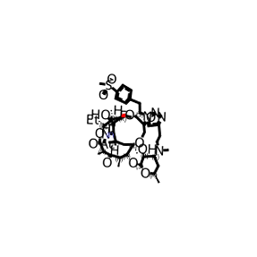 CC[C@H]1OC(=O)[C@H](C)C(=O)[C@H](C)[C@@H](O[C@@H]2O[C@H](C)C[C@H](N(C)CCc3cn([C@H](CF)Cc4ccc(S(C)(=O)=O)cc4)nn3)[C@H]2O)[C@@]2(C)C[C@@H](C)/C(=N\C(C)=O)[C@H](C)[C@@H](OCC(=O)CO2)[C@]1(C)O